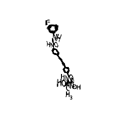 C[C@@H](O)[C@H](NC(=O)c1ccc(C#CC#Cc2ccc(NC(=O)CNc3ccc(F)cc3)cc2)cc1)C(=O)NO